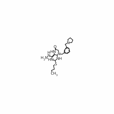 CCCCSC1NC(NN)=C2NC(=O)CN(Cc3cccc(CN4CCCC4)c3)C2N1